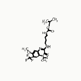 COc1cc2nc(NCCCCNC(=O)OCC(C)C)c3nnc(C)n3c2cc1C(F)(F)F